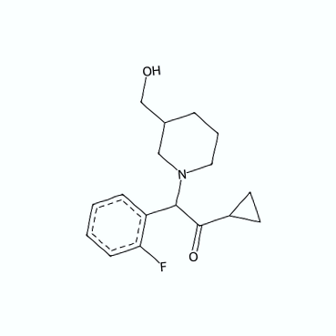 O=C(C1CC1)C(c1ccccc1F)N1CCCC(CO)C1